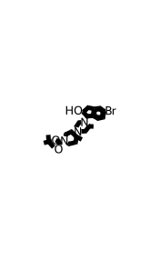 CC1CN(C2(C)CCN(C(=O)OC(C)(C)C)CC2)CCN1[C@@H]1c2ccc(Br)cc2CC1O